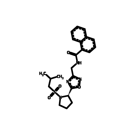 CC(C)CS(=O)(=O)N1CCC[C@H]1c1nc(CNC(=O)c2cccc3ccccc23)no1